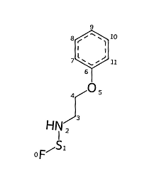 FSNCCOc1ccccc1